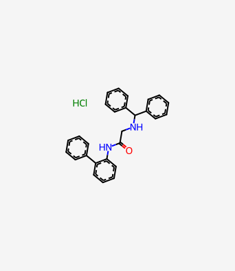 Cl.O=C(CNC(c1ccccc1)c1ccccc1)Nc1ccccc1-c1ccccc1